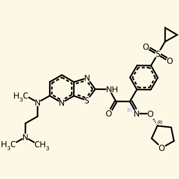 CN(C)CCN(C)c1ccc2nc(NC(=O)/C(=N/O[C@@H]3CCOC3)c3ccc(S(=O)(=O)C4CC4)cc3)sc2n1